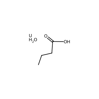 CCCC(=O)O.O.[U]